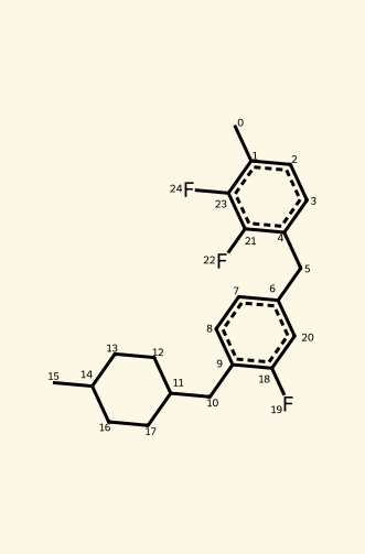 Cc1ccc(Cc2ccc(CC3CCC(C)CC3)c(F)c2)c(F)c1F